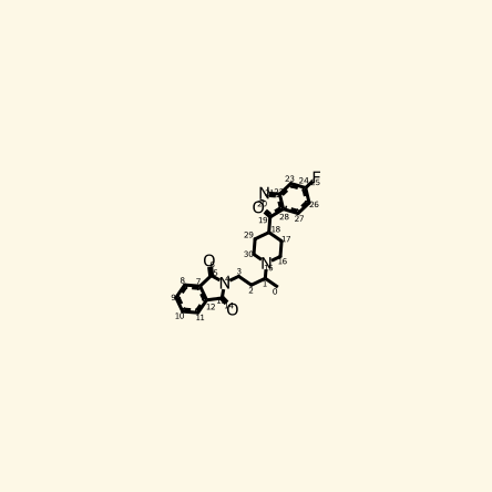 CC(CCN1C(=O)c2ccccc2C1=O)N1CCC(c2onc3cc(F)ccc23)CC1